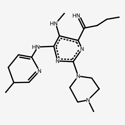 CCCC(=N)c1nc(N2CCN(C)CC2)nc(NC2=CCC(C)C=N2)c1NC